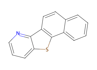 c1ccc2c(c1)ccc1c3ncccc3sc21